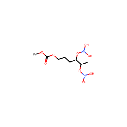 CC(C)OC(=O)OCCC[C@@H](ON(O)O)[C@@H](C)ON(O)O